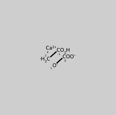 O=C([O-])[O-].[CH2]C(=O)O.[Ca+2]